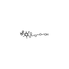 Cc1c(C)c([SH](=O)=O)c(C)c(F)c1OC(=O)CCOCCOCCO